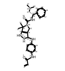 C=CC(=O)Nc1ccc(NC2NNC3=C2CN(C(=O)N[C@H](CN(C)C)c2ccccc2)C3(C)C)cc1